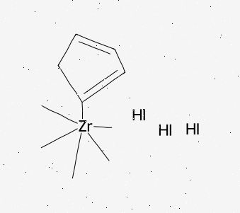 I.I.I.[CH3][Zr]([CH3])([CH3])([CH3])([CH3])[C]1=CC=CC1